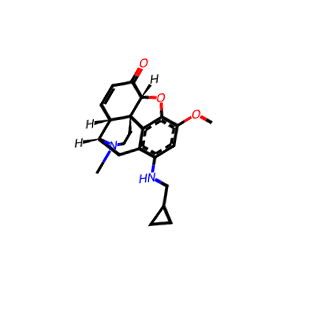 COc1cc(NCC2CC2)c2c3c1O[C@H]1C(=O)C=C[C@H]4[C@@H](C2)N(C)CC[C@]314